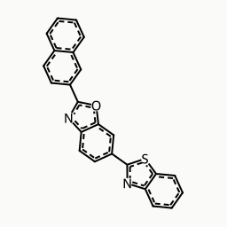 c1ccc2cc(-c3nc4ccc(-c5nc6ccccc6s5)cc4o3)ccc2c1